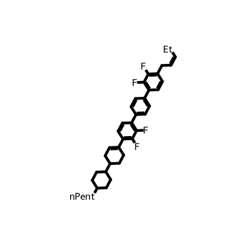 CC/C=C\Cc1ccc(-c2ccc(-c3ccc(C4=CCC(C5CCC(CCCCC)CC5)CC4)c(F)c3F)cc2)c(F)c1F